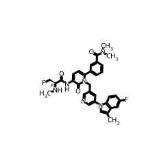 CN[C@@H](CF)C(=O)Nc1ccc(-c2cccc(C(=O)N(C)C)c2)n(Cc2cncc(-n3cc(C)c4cc(F)ccc43)c2)c1=O